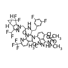 CPN(c1nn(C)c2c(-n3c(C(Cc4cc(F)cc(F)c4)NC(=O)Cn4nc(C(F)F)c5c4C(F)(F)[C@@H]4C[C@H]54)nc4nc(C(F)(F)F)ccc4c3=O)ccc(Cl)c12)S(C)(=O)=O